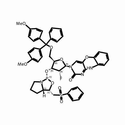 COc1ccc(C(OC[C@H]2O[C@@H](n3cc4c(nc3=O)Nc3ccccc3O4)[C@H](F)[C@@H]2O[P@]2O[C@H](CS(=O)(=O)c3ccccc3)[C@@H]3CCCN32)(c2ccccc2)c2ccc(OC)cc2)cc1